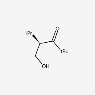 CC(C)[C@H](CO)C(=O)C(C)(C)C